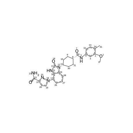 COc1cc(NC(=O)[C@H]2CC[C@@H](n3c(=O)[nH]c4c(-n5ccc(C(N)=O)n5)cccc43)CC2)ccc1C